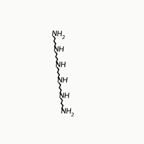 NCCCCCNCCCCCNCCCCCNCCCCCNCCCCCN